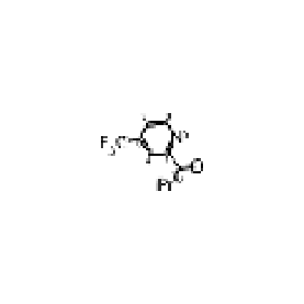 CC(C)C(=O)c1cc(C(F)(F)F)ccn1